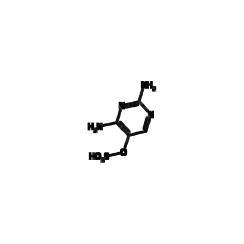 Nc1ncc(OS(=O)(=O)O)c(N)n1